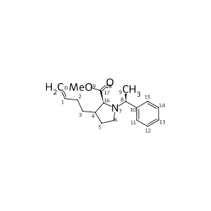 C=CCCC1CCN([C@@H](C)c2ccccc2)[C@@H]1C(=O)OC